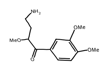 COc1ccc(C(=O)C(CCN)OC)cc1OC